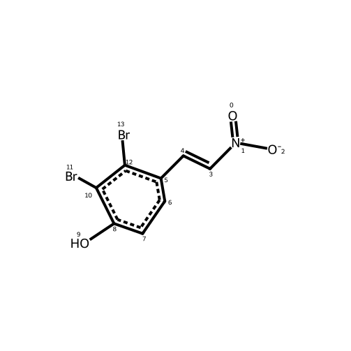 O=[N+]([O-])C=Cc1ccc(O)c(Br)c1Br